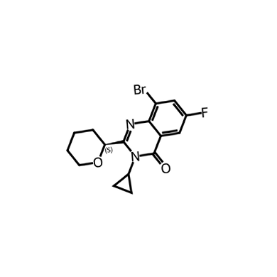 O=c1c2cc(F)cc(Br)c2nc([C@@H]2CCCCO2)n1C1CC1